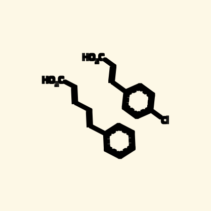 O=C(O)C=CC=Cc1ccccc1.O=C(O)C=Cc1ccc(Cl)cc1